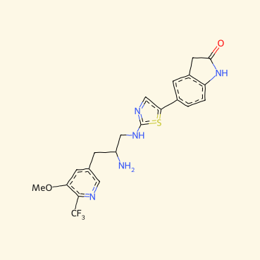 COc1cc(CC(N)CNc2ncc(-c3ccc4c(c3)CC(=O)N4)s2)cnc1C(F)(F)F